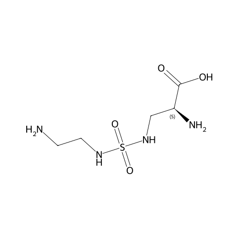 NCCNS(=O)(=O)NC[C@H](N)C(=O)O